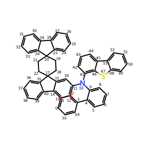 c1ccc(-c2ccccc2N(c2ccc3c(c2)C2(CCC4(CC2)c2ccccc2-c2ccccc24)c2ccccc2-3)c2cccc3c2sc2ccccc23)cc1